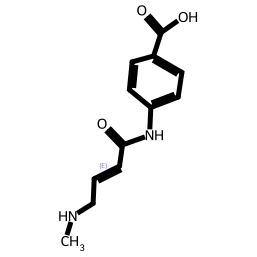 CNC/C=C/C(=O)Nc1ccc(C(=O)O)cc1